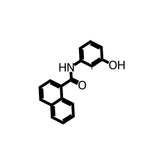 O=C(Nc1[c]c(O)ccc1)c1cccc2ccccc12